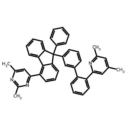 Cc1cc(C)nc(-c2ccccc2-c2cccc(C3(c4ccccc4)c4ccccc4-c4c(-c5cc(C)nc(C)n5)cccc43)c2)c1